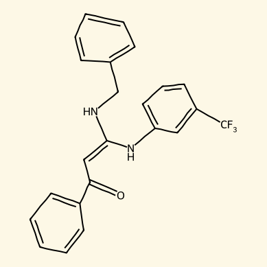 O=C(C=C(NCc1ccccc1)Nc1cccc(C(F)(F)F)c1)c1ccccc1